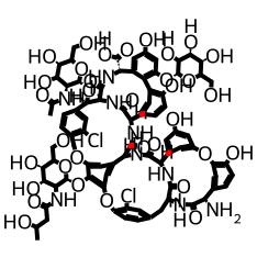 CC(=O)N[C@H]1C(O)[C@H](O)C(CO)O[C@H]1O[C@@H]1c2ccc(c(Cl)c2)Oc2cc3cc(c2O[C@@H]2OC(CO)[C@@H](O)[C@H](O)C2NC(=O)CC(C)O)Oc2ccc(cc2Cl)C[C@H]2NC(=O)[C@H](N)c4ccc(O)c(c4)Oc4cc(O)cc(c4)[C@H](NC2=O)C(=O)N[C@H]3C(=O)N[C@H]2C(=O)N[C@@H]1C(=O)N[C@H](C(=O)O)c1cc(O)cc(O[C@H]3OC(CO)[C@@H](O)[C@@H](O)C3O)c1-c1cc2ccc1O